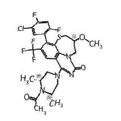 CO[C@@H]1CSc2c(-c3cc(Cl)c(F)cc3F)c(C(F)(F)F)cc3c(N4C[C@@H](C)N(C(C)=O)[C@@H](C)C4)nc(=O)n(c23)C1